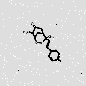 CC1C(=O)CC2CC1OOC2(C)C=Cc1ccc(F)cc1